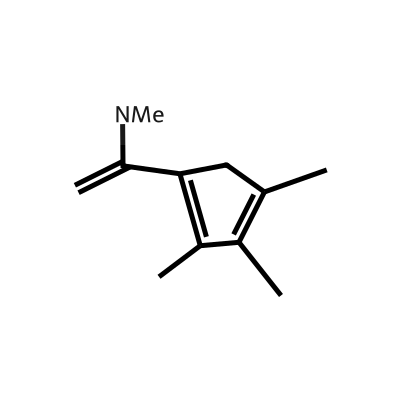 C=C(NC)C1=C(C)C(C)=C(C)C1